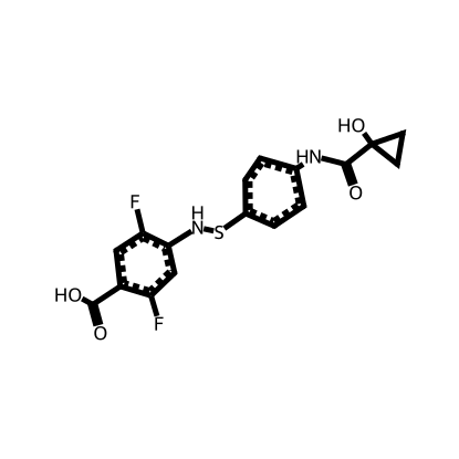 O=C(O)c1cc(F)c(NSc2ccc(NC(=O)C3(O)CC3)cc2)cc1F